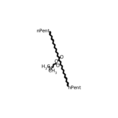 CCCCCC=CCC=CCCCCCCCC(=O)C(CCCCCCCC=CCC=CCCCCC)OC(=O)CCN(C)C